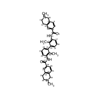 Cc1c(NC(=O)c2ccc3c(n2)CCN(C)C3)cccc1-c1cccc(NC(=O)c2ccc3c(n2)CCN(C)C3)c1C